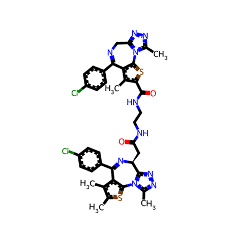 Cc1sc2c(c1C)C(c1ccc(Cl)cc1)=N[C@@H](CC(=O)NCCNC(=O)c1sc3c(c1C)C(c1ccc(Cl)cc1)=NCc1nnc(C)n1-3)c1nnc(C)n1-2